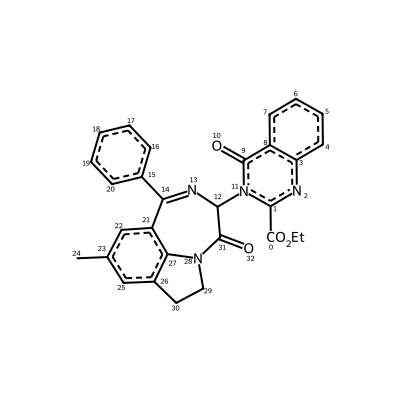 CCOC(=O)c1nc2ccccc2c(=O)n1C1N=C(c2ccccc2)c2cc(C)cc3c2N(CC3)C1=O